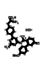 COc1ccc(-c2cc(Cl)ccc2C(Oc2cc(C3=CCC(CC(N)C(=O)O)CC3)nc(N)n2)C(F)(F)F)cc1.Cl